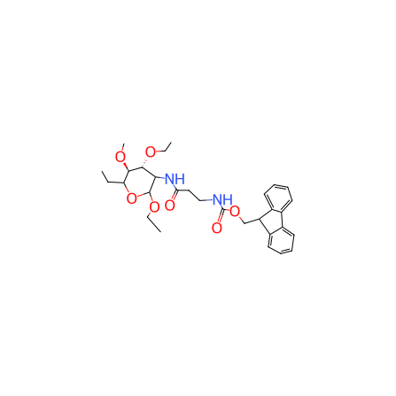 CCOC1OC(CC)[C@@H](OC)[C@H](OCC)C1NC(=O)CCNC(=O)OCC1c2ccccc2-c2ccccc21